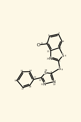 Clc1cccc2sc(Sc3nnc(-c4ccccc4)s3)nc12